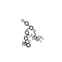 COC(=O)c1ccc(N2CCN(Cc3cc(OCCN(C(C)C)C(C)C)ccc3-c3ccc(Cl)cc3)CC2)cc1Oc1ccccc1